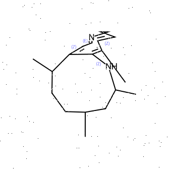 CC1=C2/NC(C)CC(C)CCC(C)/C2=C/C=N/CC/C=C\1